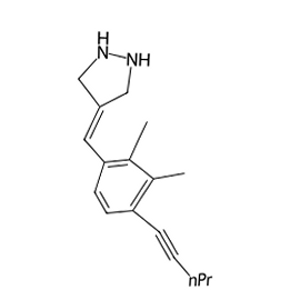 CCCC#Cc1ccc(C=C2CNNC2)c(C)c1C